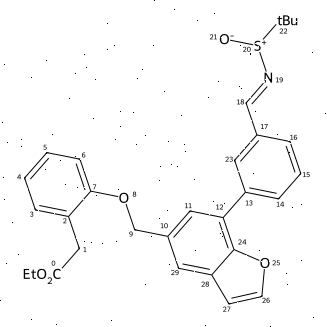 CCOC(=O)Cc1ccccc1OCc1cc(-c2cccc(C=N[S+]([O-])C(C)(C)C)c2)c2occc2c1